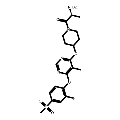 CC(=O)N[C@@H](C)C(=O)N1CCC(Oc2ncnc(Oc3ccc(S(C)(=O)=O)cc3F)c2C)CC1